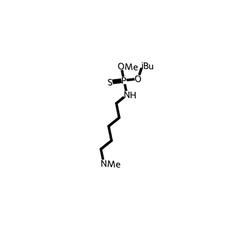 CCC(C)OP(=S)(NCCCCCNC)OC